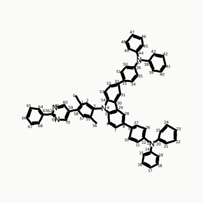 Cc1cc(-n2c3ccc(-c4ccc(N(c5ccccc5)c5ccccc5)cc4)cc3c3cc(-c4ccc(N(c5ccccc5)c5ccccc5)cc4)ccc32)c(C)cc1-c1cnc(-c2ccccc2)nc1